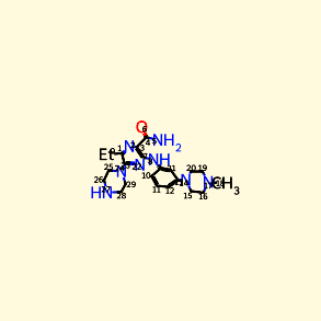 CCc1nc(C(N)=O)c(Nc2cccc(N3CCN(C)CC3)c2)nc1N1CCNCC1